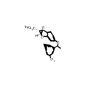 CC(OC1=CCC2C(=C1)O[C@H]1[C@H](C(=O)O)[C@@H]21)c1cccc(C(F)(F)F)c1